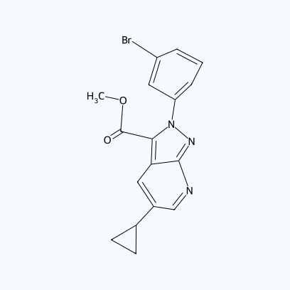 COC(=O)c1c2cc(C3CC3)cnc2nn1-c1cccc(Br)c1